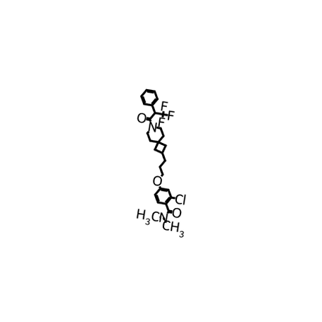 CN(C)C(=O)c1ccc(OCCCC2CC3(CCN(C(=O)C(c4ccccc4)C(F)(F)F)CC3)C2)cc1Cl